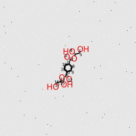 O=C(OC(O)CO)c1ccc(C(=O)OC(O)CO)cc1